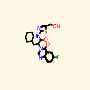 O=C(Nc1ncc(CO)s1)C(CC1CCCCC1)n1cnc2ccc(F)cc2c1=O